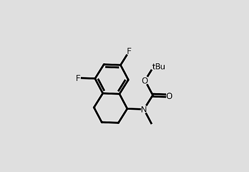 CN(C(=O)OC(C)(C)C)C1CCCc2c(F)cc(F)cc21